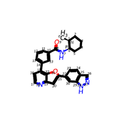 C[C@H]1CCCC[C@H]1NC(=O)c1cccc(-c2ccnc3cc(-c4ccc5cn[nH]c5c4)oc23)c1